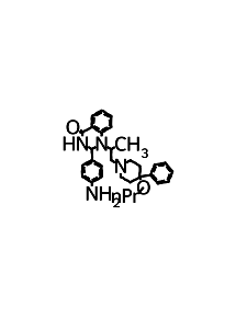 CCCOC1(c2ccccc2)CCN(CC(C)N2c3ccccc3C(=O)NC2c2ccc(N)cc2)CC1